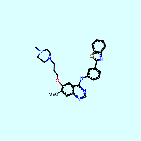 COc1cc2ncnc(Nc3cccc(-c4nc5ccccc5s4)c3)c2cc1OCCCN1CCN(C)CC1